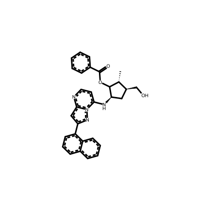 C[C@H]1C(OC(=O)c2ccccc2)[C@H](Nc2ccnc3cc(-c4cccc5ccccc45)nn23)C[C@@H]1CO